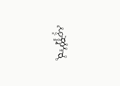 COc1c(N2CCN(CC(=O)C(C)C)C(C)C2)c(F)cc2c(=O)c(C(=O)NCc3ccc(Cl)cc3Cl)cn(C3CC3)c12